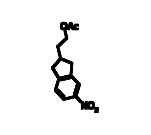 CC(=O)OCCC1Cc2ccc([N+](=O)[O-])cc2C1